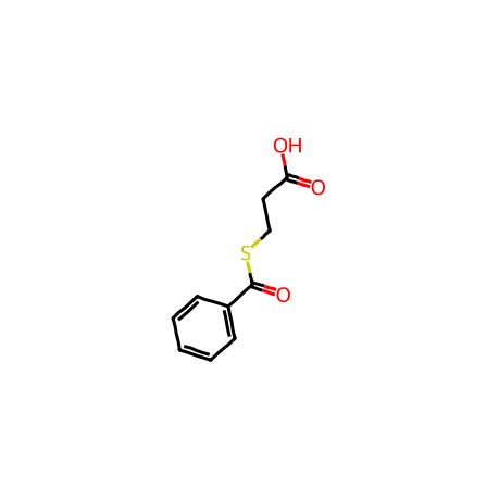 O=C(O)CCSC(=O)c1ccccc1